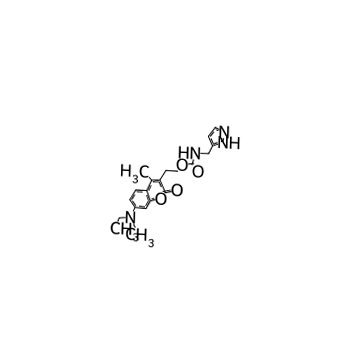 CCN(CC)c1ccc2c(C)c(CCOC(=O)NCc3ccn[nH]3)c(=O)oc2c1